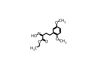 CCOC(=O)/C(CCc1cc(OC)ccc1OC)=N\O